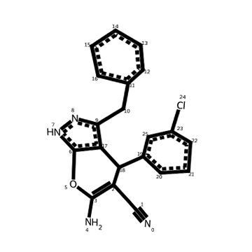 N#CC1=C(N)Oc2[nH]nc(Cc3ccccc3)c2C1c1cccc(Cl)c1